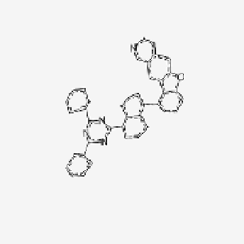 c1ccc(-c2nc(-c3ccccc3)nc(-c3cccc4c(-c5cccc6oc7cc8ccncc8cc7c56)cccc34)n2)cc1